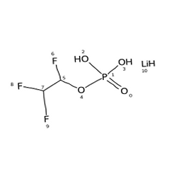 O=P(O)(O)OC(F)C(F)F.[LiH]